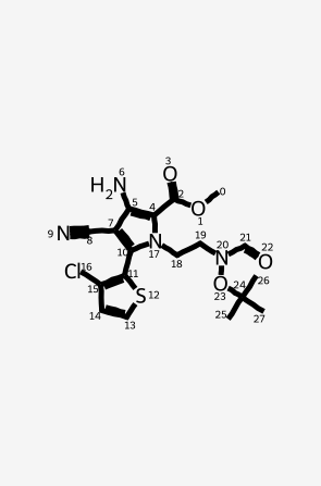 COC(=O)c1c(N)c(C#N)c(-c2sccc2Cl)n1CCN(C=O)OC(C)(C)C